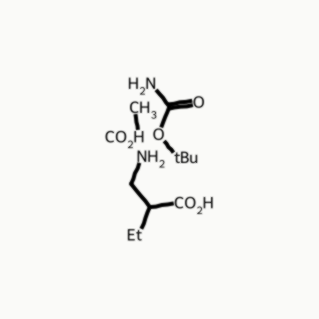 CC(=O)O.CC(C)(C)OC(N)=O.CCC(CN)C(=O)O